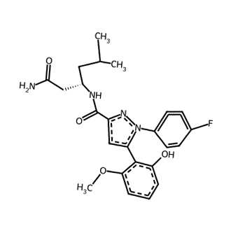 COc1cccc(O)c1-c1cc(C(=O)N[C@H](CC(N)=O)CC(C)C)nn1C1=C=C=C(F)C=C1